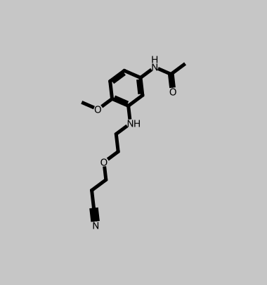 COc1ccc(NC(C)=O)cc1NCCOCCC#N